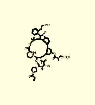 C=CC(=O)N1CC[C@H](C(=O)N(C)[C@H](C(=O)N[C@H]2Cc3cc(OC(=O)N(C)CC(=O)O)cc(c3)-c3ccc4c(c3)c(c(-c3ccccc3CCOC)n4CC)CC(C)(C)COC(=O)[C@@H]3CCCN(N3)C2=O)C(C)C)C1